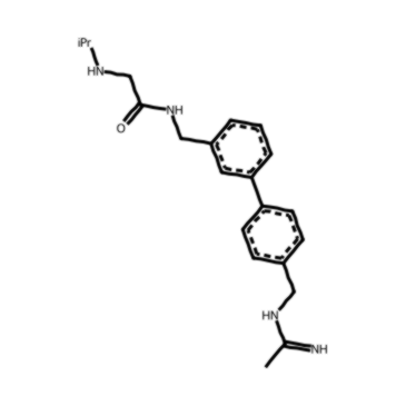 CC(=N)NCc1ccc(-c2cccc(CNC(=O)CNC(C)C)c2)cc1